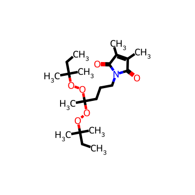 CCC(C)(C)OOC(C)(CCCN1C(=O)C(C)=C(C)C1=O)OOC(C)(C)CC